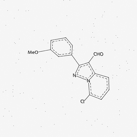 COc1cccc(-c2nn3c(Cl)cccc3c2C=O)c1